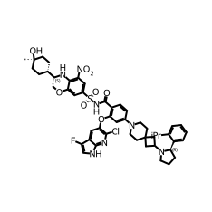 CC(C)c1ccccc1[C@H]1CCCN1C1CC2(CCN(c3ccc(C(=O)NS(=O)(=O)c4cc5c(c([N+](=O)[O-])c4)N[C@@H]([C@H]4CC[C@](C)(O)CC4)CO5)c(Oc4cc5c(F)c[nH]c5nc4Cl)c3)CC2)C1